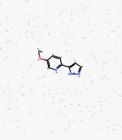 CCC(C)Oc1ccc(-c2ccn[nH]2)nc1